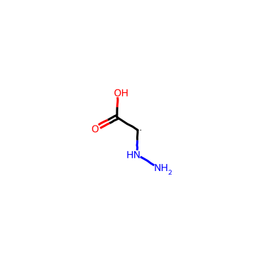 NN[CH]C(=O)O